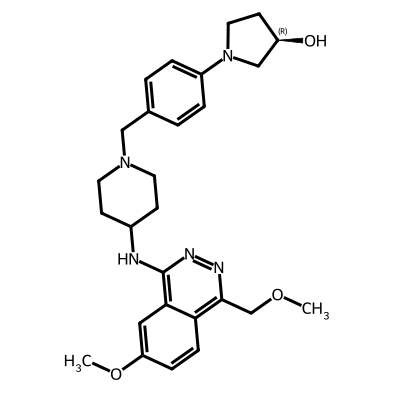 COCc1nnc(NC2CCN(Cc3ccc(N4CC[C@@H](O)C4)cc3)CC2)c2cc(OC)ccc12